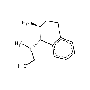 CCN(C)[C@H]1c2ccccc2CC[C@@H]1C